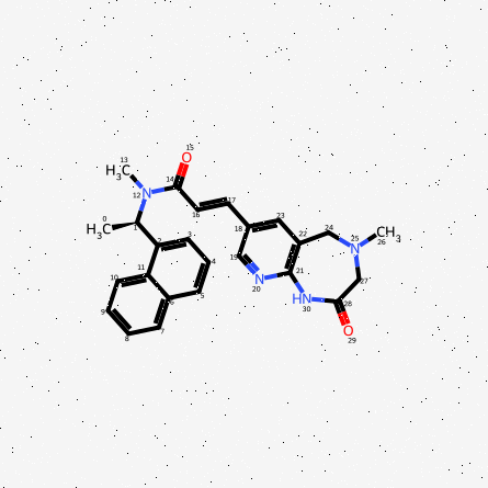 C[C@H](c1cccc2ccccc12)N(C)C(=O)/C=C/c1cnc2c(c1)CN(C)CC(=O)N2